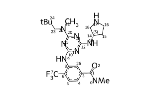 CNC(=O)c1ccc(C(F)(F)F)c(Nc2nc(N[C@H]3CCNC3)nc(N(C)CC(C)(C)C)n2)c1